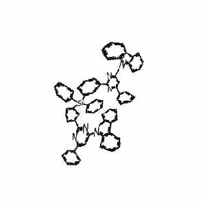 c1ccc(-c2cc(-n3c4ccccc4c4ccccc43)nc(-c3cccc([Si](c4ccccc4)(c4ccccc4)c4cccc(-c5nc(-c6ccccc6)cc(-n6c7ccccc7c7ccccc76)n5)c4)c3)n2)cc1